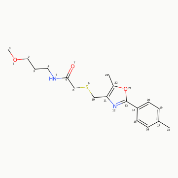 COCCCNC(=O)CSCc1nc(-c2ccc(C)cc2)oc1C